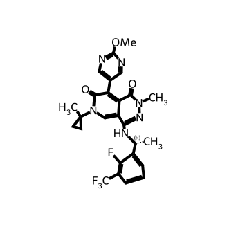 COc1ncc(-c2c(=O)n(C3(C)CC3)cc3c(N[C@H](C)c4cccc(C(F)(F)F)c4F)nn(C)c(=O)c23)cn1